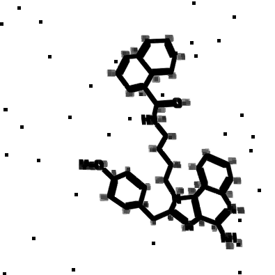 COc1ccc(Cc2nc3c(N)nc4ccccc4c3n2CCCCNC(=O)c2cccc3ccccc23)cc1